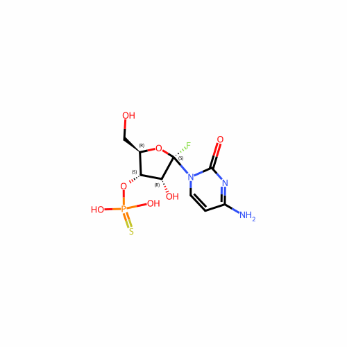 Nc1ccn([C@]2(F)O[C@H](CO)[C@@H](OP(O)(O)=S)[C@H]2O)c(=O)n1